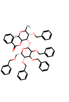 CC1OC(C)[C@H](OCc2ccccc2)[C@H](O[C@H]2O[C@@H](COCc3ccccc3)[C@@H](OCc3ccccc3)C(OCc3ccccc3)C2OCc2ccccc2)C1OC(=O)c1ccccc1